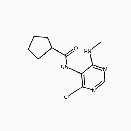 CNc1ncnc(Cl)c1NC(=O)C1CCCC1